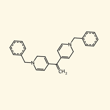 C=C(C1=CCN(Cc2ccccc2)C=C1)C1=CCN(Cc2ccccc2)C=C1